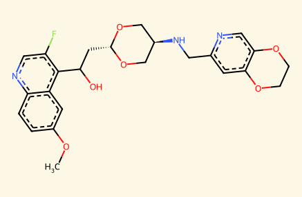 COc1ccc2ncc(F)c(C(O)C[C@H]3OC[C@H](NCc4cc5c(cn4)OCCO5)CO3)c2c1